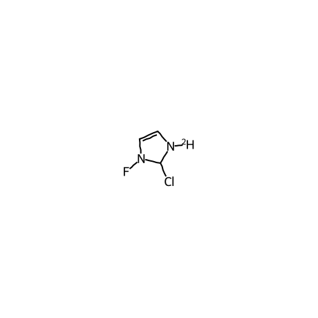 [2H]N1C=CN(F)C1Cl